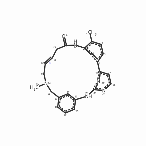 Cc1ccc2cc1NC(=O)C/C=C/CN(C)Cc1cccc(c1)Nc1nccc-2n1